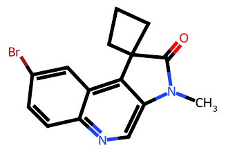 CN1C(=O)C2(CCC2)c2c1cnc1ccc(Br)cc21